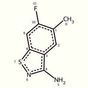 Cc1cc2c(N)nsc2cc1F